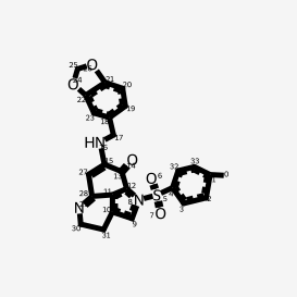 Cc1ccc(S(=O)(=O)n2cc3c4c2C(=O)C(NCc2ccc5c(c2)OCO5)=CC4=NCC3)cc1